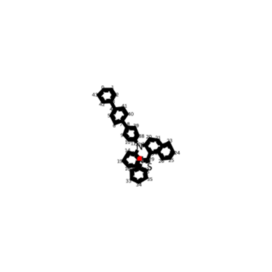 c1ccc(-c2ccc(-c3ccc(N(c4ccccc4)c4ccc5ccccc5c4-c4nc5ccccc5s4)cc3)cc2)cc1